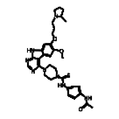 COc1cc2c(cc1OCCCN1CCCC1C)[nH]c1ncnc(N3CCN(C(=S)Nc4ccc(NC(C)=O)cc4)CC3)c12